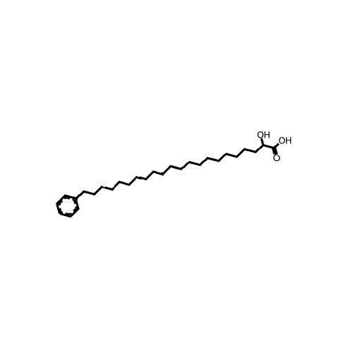 O=C(O)C(O)CCCCCCCCCCCCCCCCCCCCc1ccccc1